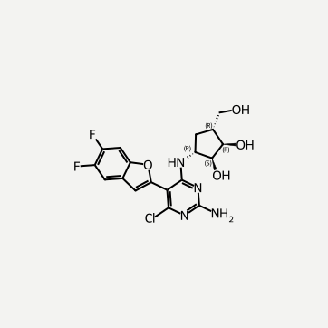 Nc1nc(Cl)c(-c2cc3cc(F)c(F)cc3o2)c(N[C@@H]2C[C@H](CO)[C@@H](O)[C@H]2O)n1